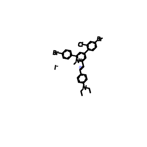 CCN(CC)c1ccc(/C=C/c2cc(-c3ccc(Br)cc3Cl)cc(-c3ccc(Br)cc3)[n+]2C)cc1.[I-]